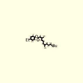 CCc1ccc(OC(=O)C=C(C)C=CCC(C)CCCC(C)CC)cc1